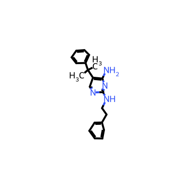 CC(C)(c1ccccc1)c1cnc(NCCc2ccccc2)nc1N